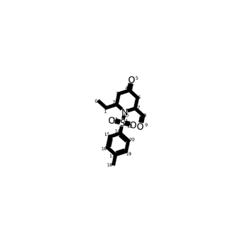 CCC1CC(=O)CC(C=O)N1S(=O)(=O)c1ccc(C)cc1